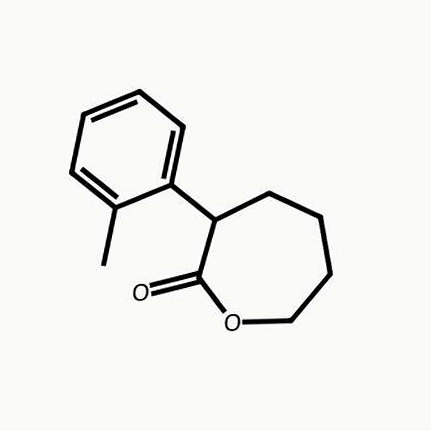 Cc1ccccc1C1CCCCOC1=O